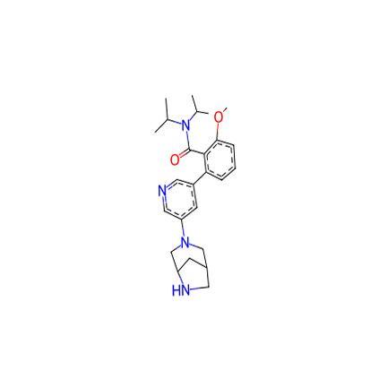 COc1cccc(-c2cncc(N3CC4CNC(C4)C3)c2)c1C(=O)N(C(C)C)C(C)C